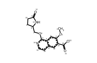 COc1cc2c(OCC3CCC(=O)N3)nccc2cc1C(=O)Cl